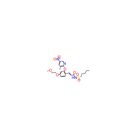 CCCCCS(=O)(=O)NC(=O)/C=C/c1ccc(OCCOC)cc1Oc1ncc([N+](=O)[O-])cc1C